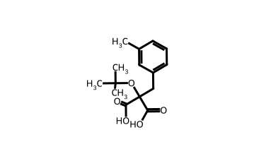 Cc1cccc(CC(OC(C)(C)C)(C(=O)O)C(=O)O)c1